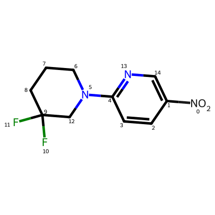 O=[N+]([O-])c1ccc(N2CCCC(F)(F)C2)nc1